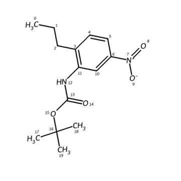 CCCc1ccc([N+](=O)[O-])cc1NC(=O)OC(C)(C)C